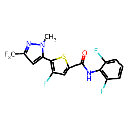 Cn1nc(C(F)(F)F)cc1-c1sc(C(=O)Nc2c(F)cccc2F)cc1F